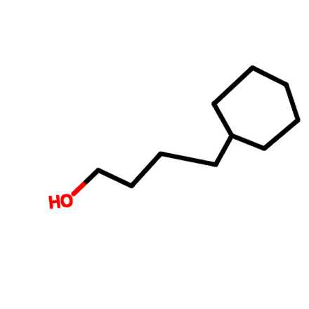 OCCCCC1CCCCC1